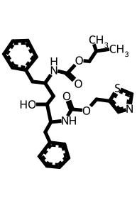 CC(C)COC(=O)NC(Cc1ccccc1)CC(O)C(Cc1ccccc1)NC(=O)OCc1cncs1